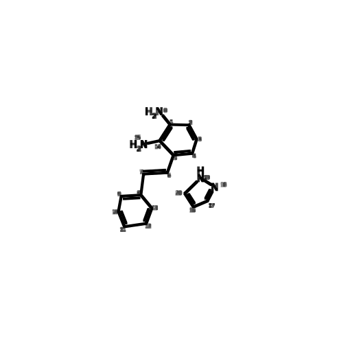 Nc1cccc(C=Cc2ccccc2)c1N.c1cn[nH]c1